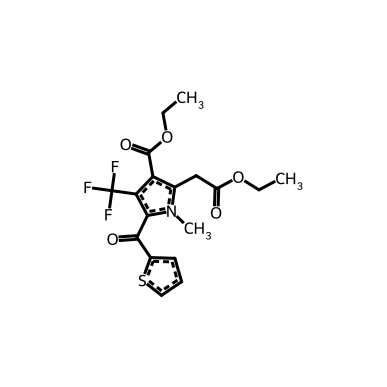 CCOC(=O)Cc1c(C(=O)OCC)c(C(F)(F)F)c(C(=O)c2cccs2)n1C